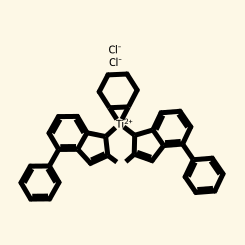 CC1=Cc2c(-c3ccccc3)cccc2[CH]1[Ti+2]1([CH]2C(C)=Cc3c(-c4ccccc4)cccc32)[CH]2CCCC[CH]21.[Cl-].[Cl-]